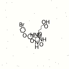 O=C(O)CCCC(=O)NC1(c2ccc(Oc3ccc(Br)cc3)cc2)C(=O)NC(=O)NC1=O